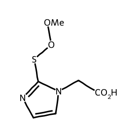 COOSc1nccn1CC(=O)O